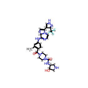 Cc1cc(Nc2nccn3c(-c4c[nH]nc4C(F)(F)F)cnc23)ccc1C(=O)N1CCN(C(=O)N[C@H]2CNC[C@@H]2O)CC1